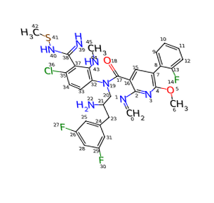 C=Nc1nc(OC)c(-c2ccccc2F)cc1C(=O)N(CC(N)Cc1cc(F)cc(F)c1)c1ccc(Cl)c(C(=N)NSC)c1NC